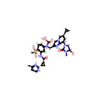 Cc1ccnc([C@H]2C[C@@H]2C(=O)Nc2cc(N(Cc3cn4cc(C5CC5)cc(N5CC(=O)N(C)C5=O)c4n3)C(=O)O)ccc2S(C)(=O)=O)n1